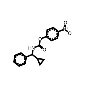 O=C(NC(c1ccccc1)C1CC1)Oc1ccc([N+](=O)[O-])cc1